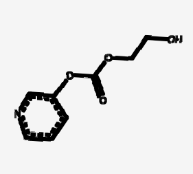 O=C(OCCO)Oc1cccnc1